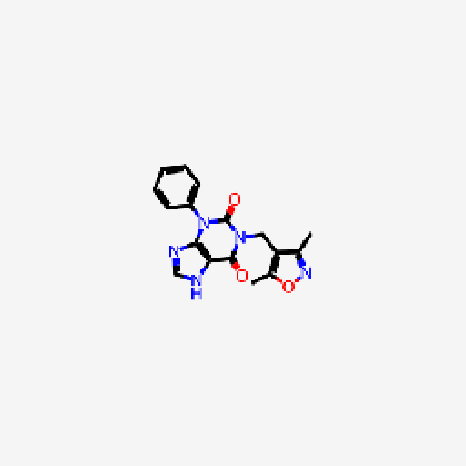 Cc1noc(C)c1Cn1c(=O)c2[nH]cnc2n(-c2ccccc2)c1=O